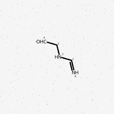 N=CNC[C]=O